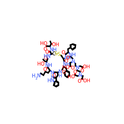 CC(O)C(NC(=O)C1CSSCC(NC(=O)C(Cc2ccccc2)NC(=O)CN(CCN(CCN(CC(=O)O)CC(=O)O)CC(=O)O)CC(=O)O)C(=O)NC(Cc2ccccc2)C(=O)NC(Cc2c[nH]c3ccccc23)C(=O)NC(CCCCN)C(=O)NC(C(C)O)C(=O)N1)C(=O)O